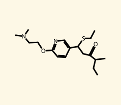 CCSC(CC(=O)C(C)CC)c1ccc(OCCN(C)C)nc1